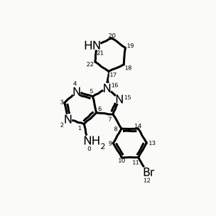 Nc1ncnc2c1c(-c1ccc(Br)cc1)nn2[C@@H]1CCCNC1